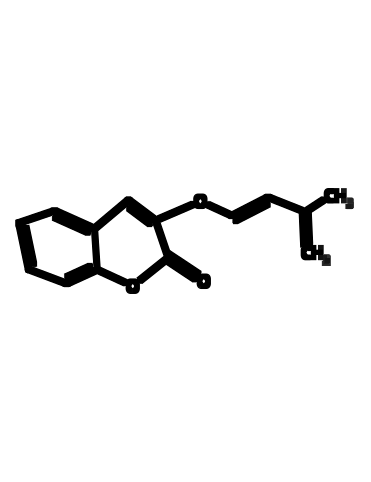 C=C(C)C=COc1cc2ccccc2oc1=O